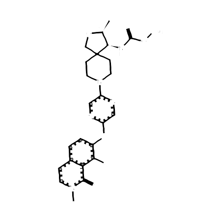 C[C@@H]1OCC2(CCN(c3cnc(Sc4ccc5ccn(C)c(=O)c5c4Cl)cn3)CC2)[C@@H]1NC(=O)OC(C)(C)C